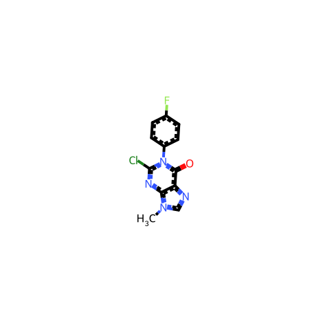 Cn1cnc2c(=O)n(-c3ccc(F)cc3)c(Cl)nc21